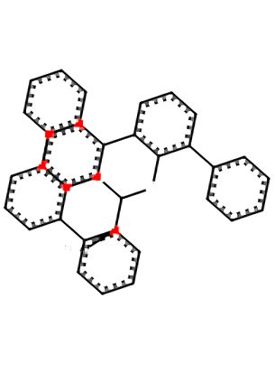 [AlH2][CH2]C(Oc1c(-c2ccccc2)cccc1-c1ccccc1)Oc1c(-c2ccccc2)cccc1-c1ccccc1